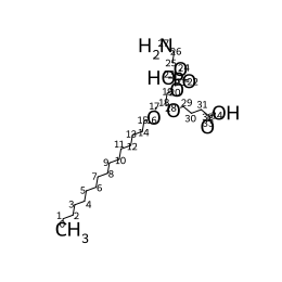 CCCCCCCCCCCCCCCCOC[C@H](CO[P@](=O)(O)OCCN)OCCCC(=O)O